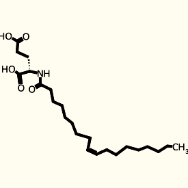 CCCCCCCC/C=C\CCCCCCCC(=O)N[C@@H](CCC(=O)O)C(=O)O